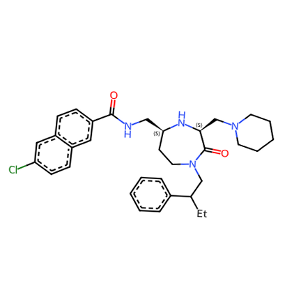 CCC(CN1CC[C@@H](CNC(=O)c2ccc3cc(Cl)ccc3c2)N[C@@H](CN2CCCCC2)C1=O)c1ccccc1